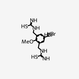 Br.Br.COc1c(CNC(=N)S)cc(C)cc1CNC(=N)S